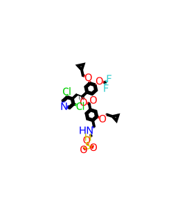 O=C(O[C@@H](Cc1c(Cl)cncc1Cl)c1ccc(OC(F)F)c(OCC2CC2)c1)c1ccc(CNCO[SH](=O)=O)c(OCC2CC2)c1